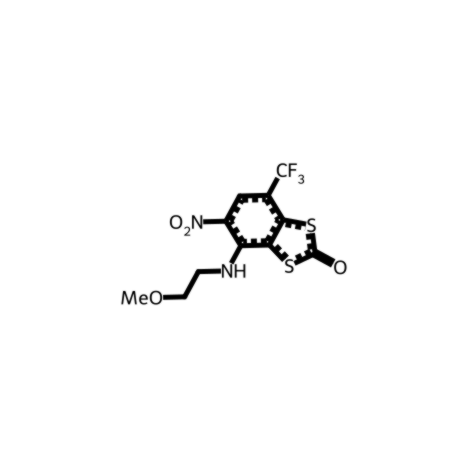 COCCNc1c([N+](=O)[O-])cc(C(F)(F)F)c2sc(=O)sc12